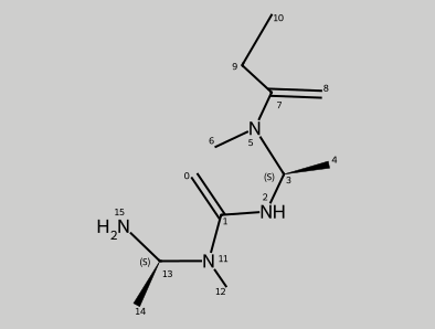 C=C(N[C@H](C)N(C)C(=C)CC)N(C)[C@@H](C)N